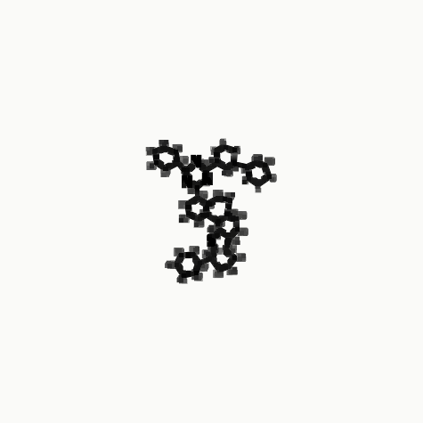 c1ccc(-c2cccc(-c3nc(-c4ccccc4)nc(-c4cccc5c4ccc4ccc6c7cccc(-c8ccccc8)c7sc6c45)n3)c2)cc1